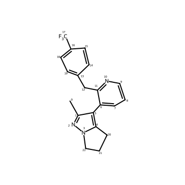 Cc1nn2c(c1-c1cccnc1Cc1ccc(C(F)(F)F)cc1)CCC2